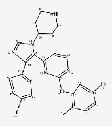 CCc1ccc(C)c(Oc2nccc(-c3c(-c4ccc(I)cc4)ncn3C3CCNCC3)n2)c1